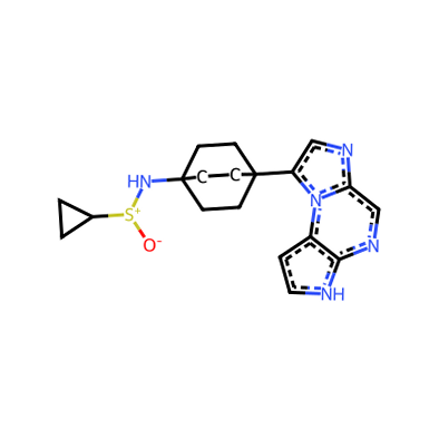 [O-][S+](NC12CCC(c3cnc4cnc5[nH]ccc5n34)(CC1)CC2)C1CC1